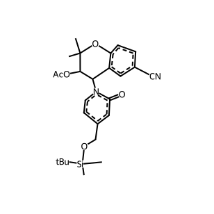 CC(=O)OC1C(n2ccc(CO[Si](C)(C)C(C)(C)C)cc2=O)c2cc(C#N)ccc2OC1(C)C